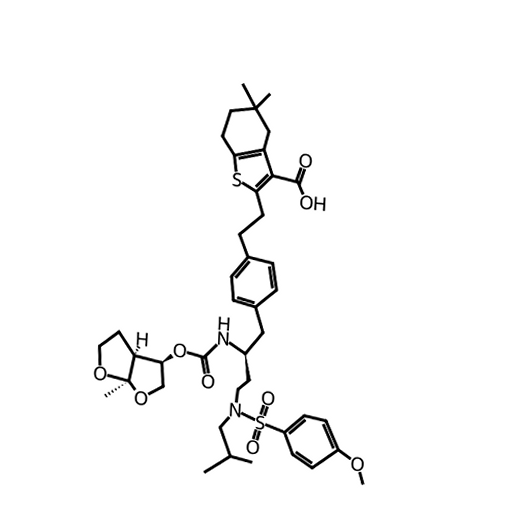 COc1ccc(S(=O)(=O)N(CC[C@H](Cc2ccc(CCc3sc4c(c3C(=O)O)CC(C)(C)CC4)cc2)NC(=O)O[C@H]2CO[C@@]3(C)OCC[C@@H]23)CC(C)C)cc1